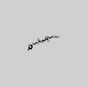 COCCNC(=O)/C=C/CNC(=O)OCCOc1ccc(I)cn1